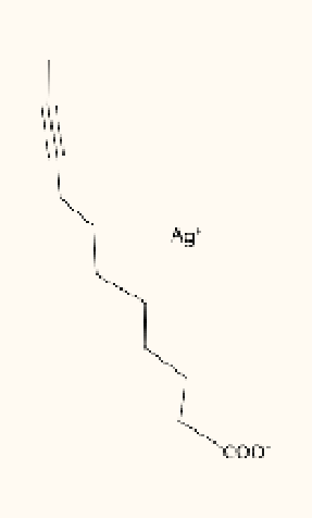 CC#CCCCCCCCC(=O)[O-].[Ag+]